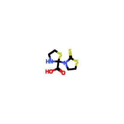 O=C(O)C1(N2CCSC2=S)NCCS1